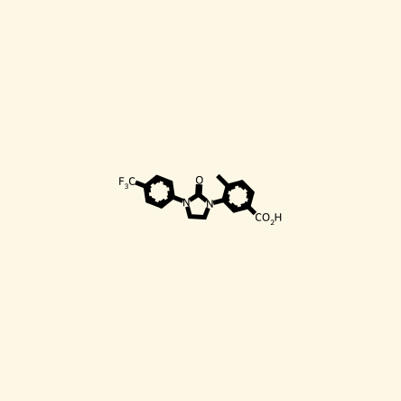 Cc1ccc(C(=O)O)cc1N1CCN(c2ccc(C(F)(F)F)cc2)C1=O